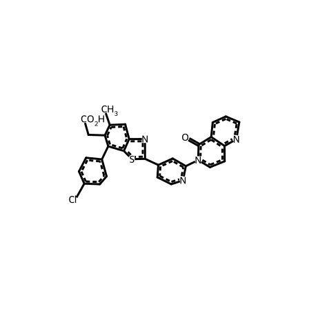 Cc1cc2nc(-c3ccnc(-n4ccc5ncccc5c4=O)c3)sc2c(-c2ccc(Cl)cc2)c1CC(=O)O